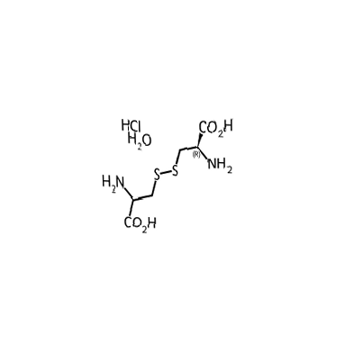 Cl.NC(CSSC[C@H](N)C(=O)O)C(=O)O.O